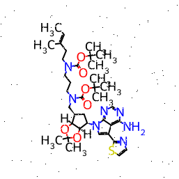 C/C=C(\C)CCN(CCCN(C[C@H]1C[C@@H](n2cc(-c3nccs3)c3c(N)ncnc32)[C@@H]2OC(C)(C)O[C@H]12)C(=O)OC(C)(C)C)C(=O)OC(C)(C)C